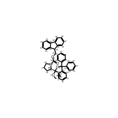 COC(OC)(OC(c1ccccc1)(c1ccccc1)c1ccccc1)[C@H]1CCCN1C(=O)OCC1c2ccccc2-c2ccccc21